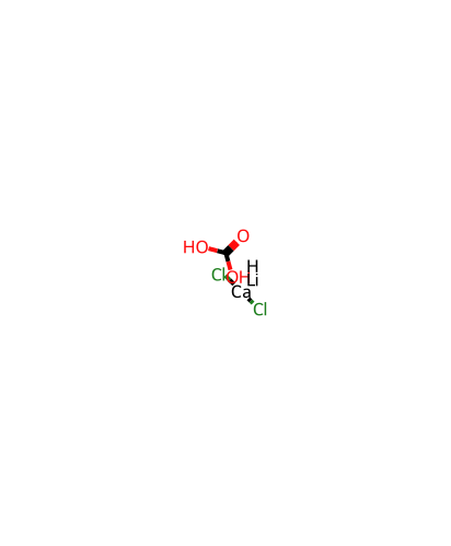 O=C(O)O.[Cl][Ca][Cl].[LiH]